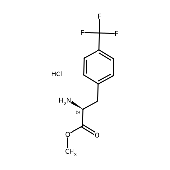 COC(=O)[C@@H](N)Cc1ccc(C(F)(F)F)cc1.Cl